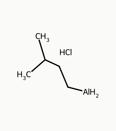 CC(C)C[CH2][AlH2].Cl